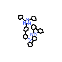 c1ccc(-c2nc(-c3ccccc3)nc(-c3ccc(-c4cccc(-n5c6ccccc6c6ccc7c(nc8c9ccccc9c9ccccc9n78)c65)c4)cc3)n2)cc1